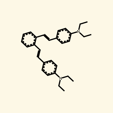 CCN(CC)c1ccc(C=Cc2ccccc2C=Cc2ccc(N(CC)CC)cc2)cc1